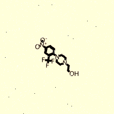 O=[N+]([O-])c1ccc(N2CCN(CCO)CC2)c(C(F)(F)F)c1